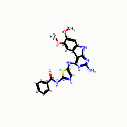 COc1cc2[nH]c3nc(N)nc(Nc4cnc(NC(=O)c5ccccc5)s4)c3c2cc1OC